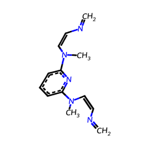 C=N/C=C\N(C)c1cccc(N(C)/C=C\N=C)n1